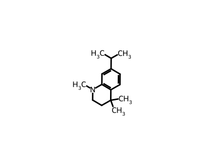 CC(C)c1ccc2c(c1)N(C)CCC2(C)C